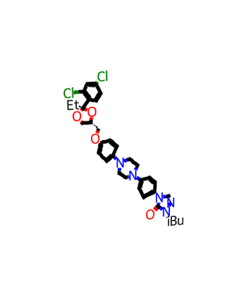 CCC(C)n1ncn(-c2ccc(N3CCN(c4ccc(OC[C@@H]5CO[C@@](CC)(c6ccc(Cl)cc6Cl)O5)cc4)CC3)cc2)c1=O